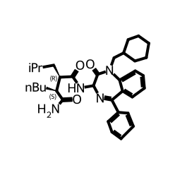 CCCC[C@H](C(N)=O)[C@@H](CC(C)C)C(=O)NC1N=C(c2ccccc2)c2ccccc2N(CC2CCCCC2)C1=O